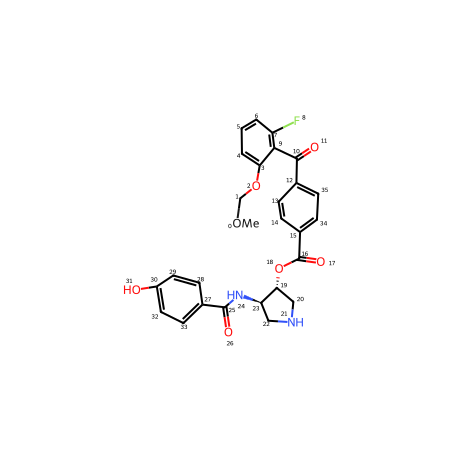 COCOc1cccc(F)c1C(=O)c1ccc(C(=O)O[C@@H]2CNC[C@H]2NC(=O)c2ccc(O)cc2)cc1